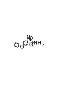 NC(=O)c1ccnn1-c1ccc(Oc2ccccc2)cc1